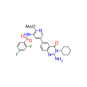 COc1ncc(-c2ccc3nc(N)n(C4CCCCC4)c(=O)c3c2)cc1NS(=O)(=O)c1ccc(F)cc1F